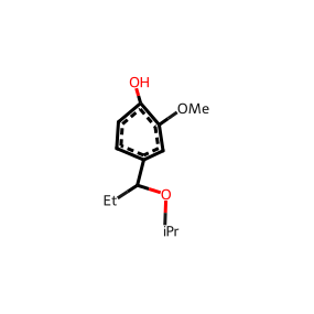 CCC(OC(C)C)c1ccc(O)c(OC)c1